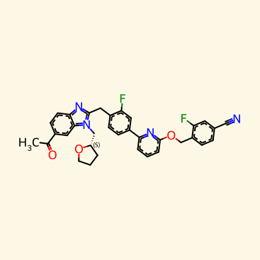 CC(=O)c1ccc2nc(Cc3ccc(-c4cccc(OCc5ccc(C#N)cc5F)n4)cc3F)n(C[C@@H]3CCCO3)c2c1